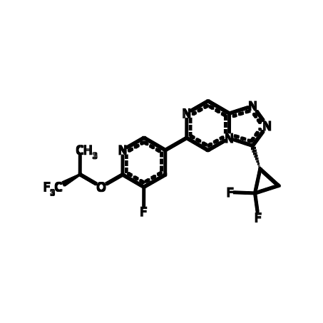 C[C@@H](Oc1ncc(-c2cn3c([C@@H]4CC4(F)F)nnc3cn2)cc1F)C(F)(F)F